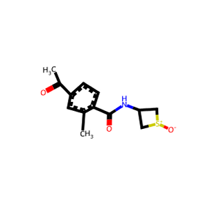 CC(=O)c1ccc(C(=O)NC2C[S+]([O-])C2)c(C)c1